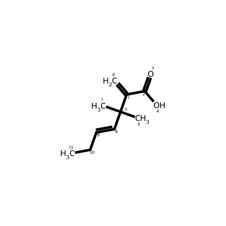 C=C(C(=O)O)C(C)(C)C=CCC